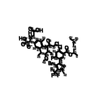 CC(C)OC(=O)c1cc(-c2nn(C)c(C(F)(F)F)c2Br)c(F)cc1Cl.CCc1cccc(C)c1N(C(=O)CCl)C(C)COC.C[S+](C)C.O=C(O)CNCP(=O)([O-])O